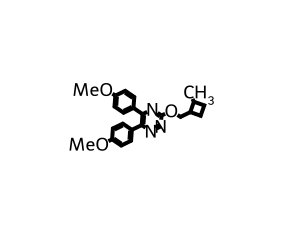 COc1ccc(-c2nnc(OCC3CCC3C)nc2-c2ccc(OC)cc2)cc1